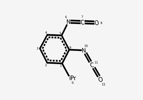 CC(C)c1cccc(N=C=O)c1N=C=O